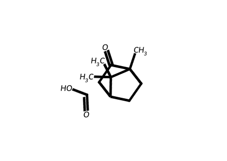 CC12CCC(CC1=O)C2(C)C.O=CO